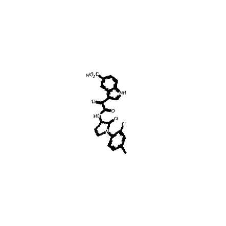 Cc1ccc(N2CCC(NC(=O)C(=O)c3c[nH]c4ccc(C(=O)O)cc34)C2=O)c(Cl)c1